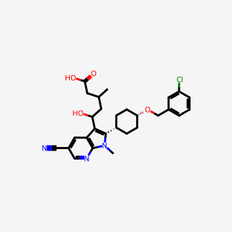 CC(CC(=O)O)CC(O)c1c2cc(C#N)cnc2n(C)c1[C@H]1CC[C@@H](OCc2cccc(Cl)c2)CC1